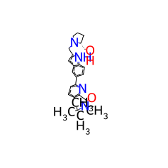 CN(C(=O)c1cccc(-c2ccc3[nH]c(CN4CCC[C@@H]4CO)cc3c2)n1)C(C)(C)C